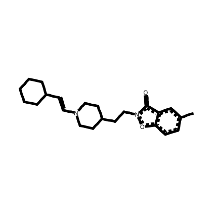 Cc1ccc2on(CCC3CCN(C=CC4CCCCC4)CC3)c(=O)c2c1